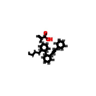 C=C(C)C(=O)O.CCCCc1ccccc1-c1ccccc1C#Cc1ccccc1